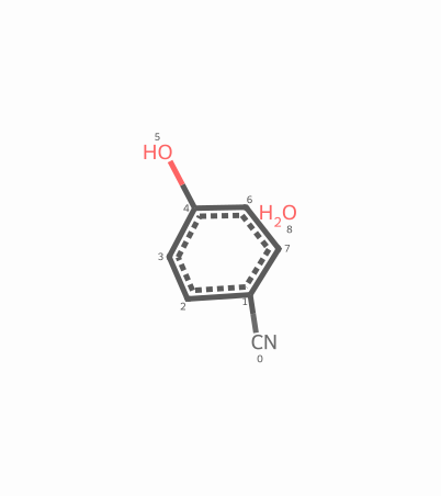 N#Cc1ccc(O)cc1.O